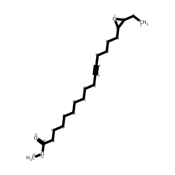 CCC1OC1CCCCC#CCCCCCCCCCC(=O)OC